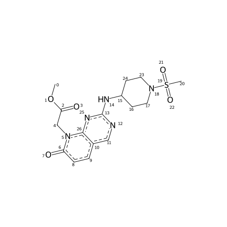 COC(=O)Cn1c(=O)ccc2cnc(NC3CCN(S(C)(=O)=O)CC3)nc21